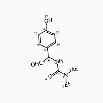 CCN(C(C)=O)C(=O)NC([C]=O)c1ccc(O)cc1